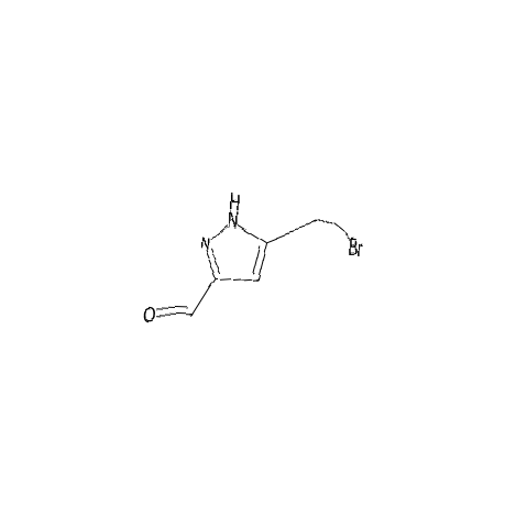 O=Cc1cc(CBr)[nH]n1